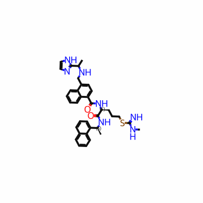 CNC(=N)SCCC[C@H](NC(=O)c1ccc(CNC(C)c2ncc[nH]2)c2ccccc12)C(=O)N[C@@H](C)c1cccc2ccccc12